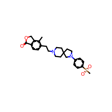 Cc1c(CCN2CCC3(CC2)CCN(c2ccc(S(C)(=O)=O)cc2)C3)ccc2c1COC2=O